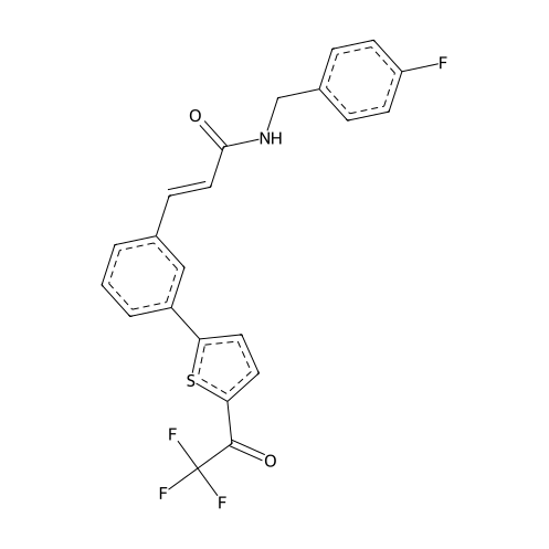 O=C(C=Cc1cccc(-c2ccc(C(=O)C(F)(F)F)s2)c1)NCc1ccc(F)cc1